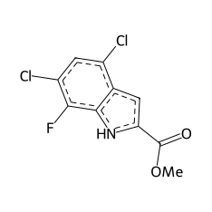 COC(=O)c1cc2c(Cl)cc(Cl)c(F)c2[nH]1